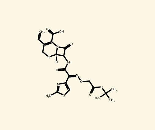 C=CC1=C(C(=O)O)N2C(=O)C(NC(=O)C(=NOCC(=O)OC(C)(C)C)c3csc(N)n3)[C@@H]2SC1